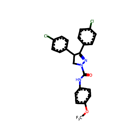 O=C(Nc1ccc(OC(F)(F)F)cc1)N1CC(c2ccc(Cl)cc2)C(c2ccc(Cl)cc2)=N1